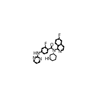 O=C(c1ccc(Nc2ncccn2)cc1F)N(c1nccc2cc(F)ccc12)[C@@H]1CCCNC1